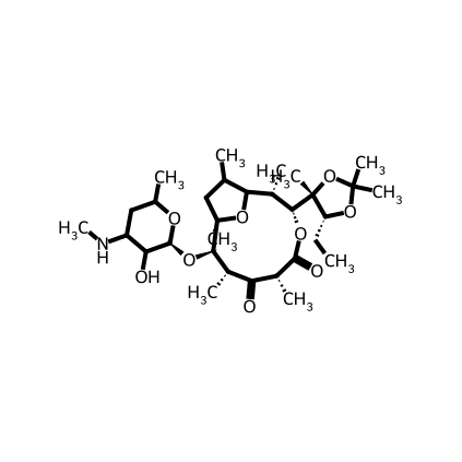 CC[C@H]1OC(C)(C)O[C@@]1(C)[C@@H]1OC(=O)[C@H](C)C(=O)[C@H](C)[C@@H](O[C@@H]2OC(C)CC(NC)C2O)[C@@]2(C)CC(C)C(O2)[C@@H]1C